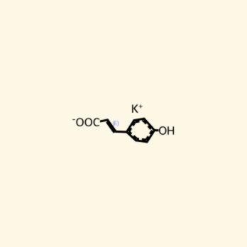 O=C([O-])/C=C/c1ccc(O)cc1.[K+]